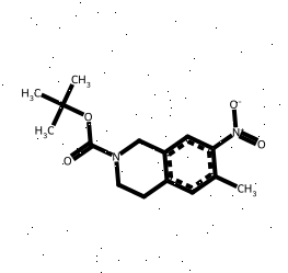 Cc1cc2c(cc1[N+](=O)[O-])CN(C(=O)OC(C)(C)C)CC2